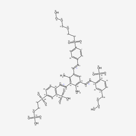 Nc1c(/N=N/c2ccc(S(=O)(=O)CCOSOOO)cc2)cc(/N=N/c2cc(SOOO)ccc2S(=O)(=O)O)c(N)c1/N=N/c1ccc(S(=O)(=O)CCOS(=O)(=O)O)cc1S(=O)(=O)O